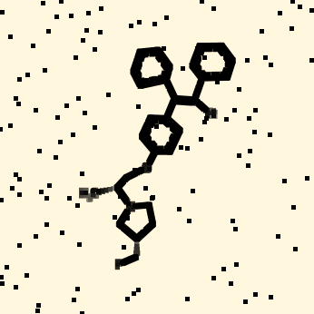 CC/C(=C(/c1ccccc1)c1ccc(OC[C@@H](C)N2CC[C@H](CF)C2)cc1)c1ccccc1